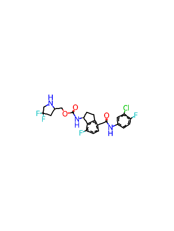 O=C(N[C@H]1CCc2c(C(=O)Nc3ccc(F)c(Cl)c3)ccc(F)c21)OCC1CC(F)(F)CN1